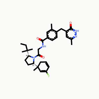 CCC(C)(C)[C@H]1CC[C@@H](C2(C)C=C(F)C=CC2)N1C(=O)CNC(=O)c1ccc(Cc2cc(C)n[nH]c2=O)c(C)c1